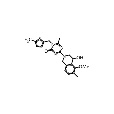 COc1c(C)ccc2c1C(O)CN(c1nc(C)n(Cc3ccc(C(F)(F)F)s3)c(=O)n1)C2